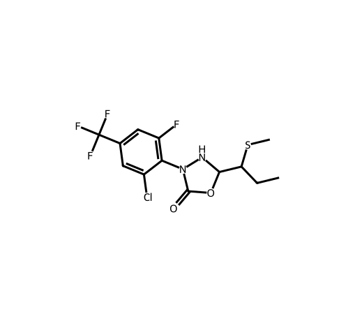 CCC(SC)C1NN(c2c(F)cc(C(F)(F)F)cc2Cl)C(=O)O1